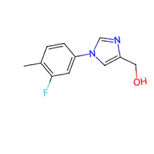 Cc1ccc(-n2cnc(CO)c2)cc1F